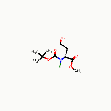 COC(=O)[C@H](CCO)N(Br)C(=O)OC(C)(C)C